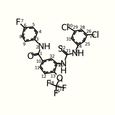 O=C(Nc1ccc(F)cc1)c1ccc(OC(F)(F)F)c(NC(=S)Nc2cc(Cl)cc(Cl)c2)c1